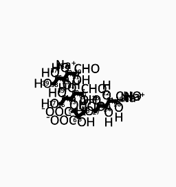 O=C([O-])CC(O)(CC(=O)[O-])C(=O)[O-].O=C[C@H](O)[C@@H](O)[C@H](O)[C@H](O)CO.O=C[C@H](O)[C@@H](O)[C@H](O)[C@H](O)CO.O=C[C@H](O)[C@@H](O)[C@H](O)[C@H](O)CO.[Na+].[Na+].[Na+]